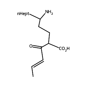 CC=CC(=O)C(CCC(N)CCCCCCC)C(=O)O